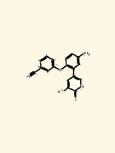 Cc1cc(-c2cc(N)ccc2Oc2cccc(C#N)c2)c[nH]c1=O